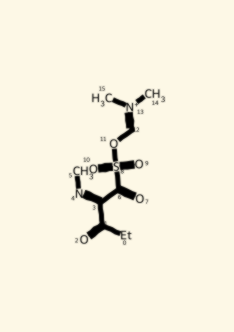 CCC(=O)/C(=N/C)C(=O)S(=O)(=O)OC=[N+](C)C